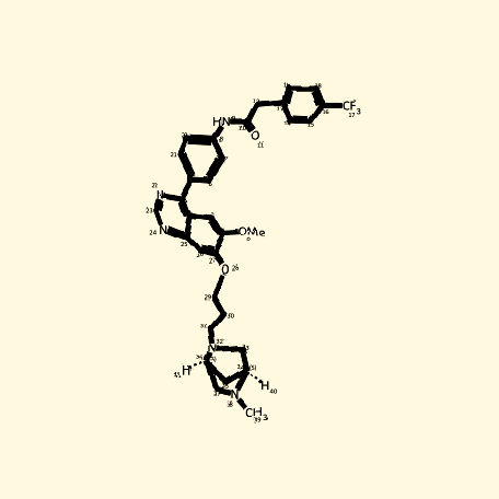 COc1cc2c(-c3ccc(NC(=O)Cc4ccc(C(F)(F)F)cc4)cc3)ncnc2cc1OCCCN1C[C@@H]2C[C@H]1CN2C